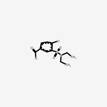 CCN(CC)S(=O)(=O)c1cc(C(=O)Cl)ccc1Cl